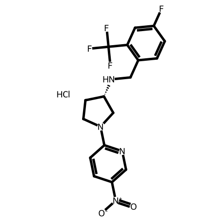 Cl.O=[N+]([O-])c1ccc(N2CC[C@H](NCc3ccc(F)cc3C(F)(F)F)C2)nc1